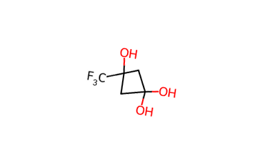 OC1(O)CC(O)(C(F)(F)F)C1